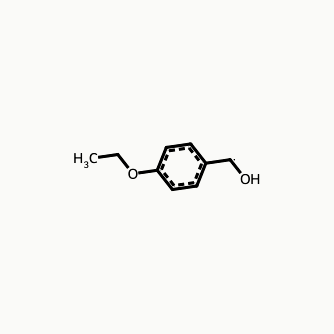 CCOc1ccc([CH]O)cc1